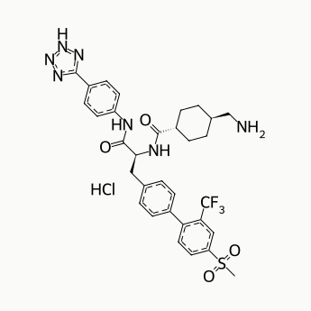 CS(=O)(=O)c1ccc(-c2ccc(C[C@H](NC(=O)[C@H]3CC[C@H](CN)CC3)C(=O)Nc3ccc(-c4nn[nH]n4)cc3)cc2)c(C(F)(F)F)c1.Cl